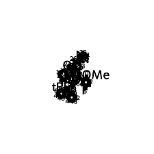 COc1ccc(F)cc1[C@H](Cn1c(=O)n(C2CCCN(C(C)C)C2=O)c(=O)c2c(C)c(-n3nccn3)sc21)OCCO[Si](c1ccccc1)(c1ccccc1)C(C)(C)C